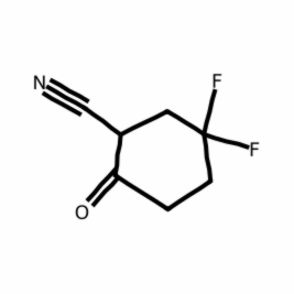 N#CC1CC(F)(F)CCC1=O